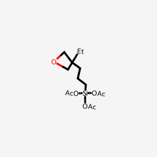 CCC1(CCC[Si](OC(C)=O)(OC(C)=O)OC(C)=O)COC1